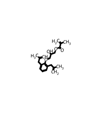 C=C(C)Cc1cccc(CC(=C)C)c1OCC(O)COC(=O)C(=C)C